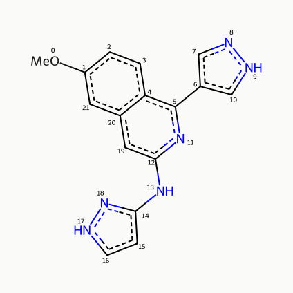 COc1ccc2c(-c3cn[nH]c3)nc(Nc3cc[nH]n3)cc2c1